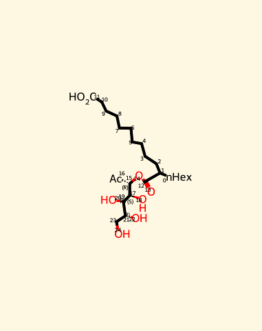 CCCCCCC(CCCCCCCCCC(=O)O)C(=O)O[C@@H](C(C)=O)[C@@H](O)[C@H](O)[C@H](O)CO